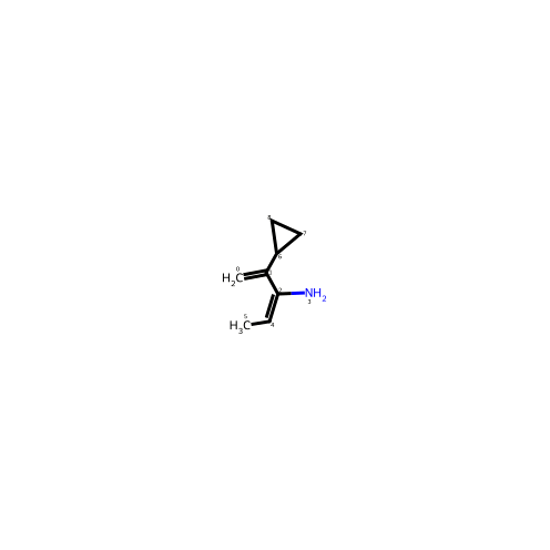 C=C(/C(N)=C\C)C1CC1